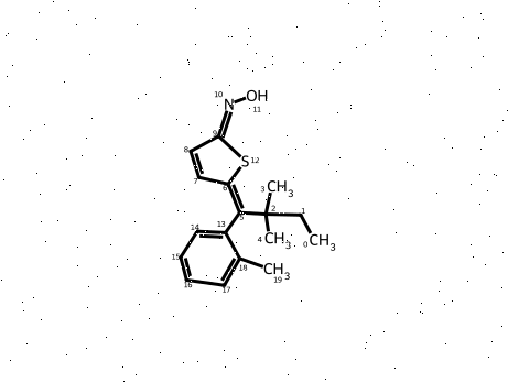 CCC(C)(C)/C(=C1/C=CC(=NO)S1)c1ccccc1C